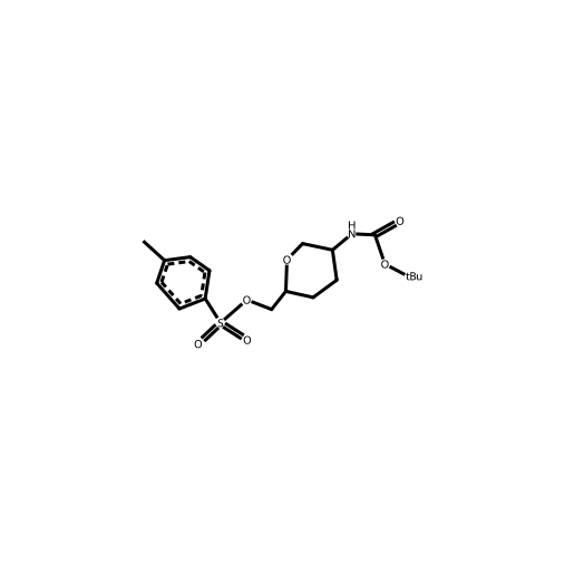 Cc1ccc(S(=O)(=O)OCC2CCC(NC(=O)OC(C)(C)C)CO2)cc1